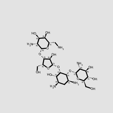 NC[C@@H]1O[C@H](O[C@@H]2[C@@H](O)[C@H](O[C@H]3[C@@H](O)[C@H](N)C[C@H](N)[C@H]3O[C@H]3O[C@H](CO)[C@@H](O)[C@H](O)[C@H]3N)O[C@@H]2CO)[C@H](N)[C@@H](O)[C@H]1O